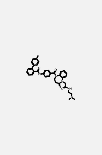 Cc1ccc(-c2ccccc2C(=O)Nc2ccc(C(=O)N3CCC(=O)N(CC(=O)NCCN(C)C)c4ccccc43)cc2)cc1